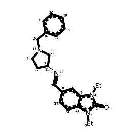 CCn1c(=O)n(CC)c2cc(C=N[C@@H]3CCN(Cc4ccccc4)C3)ccc21